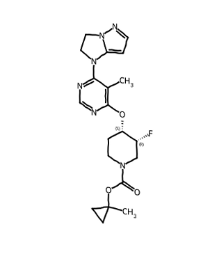 Cc1c(O[C@H]2CCN(C(=O)OC3(C)CC3)C[C@H]2F)ncnc1N1CCn2nccc21